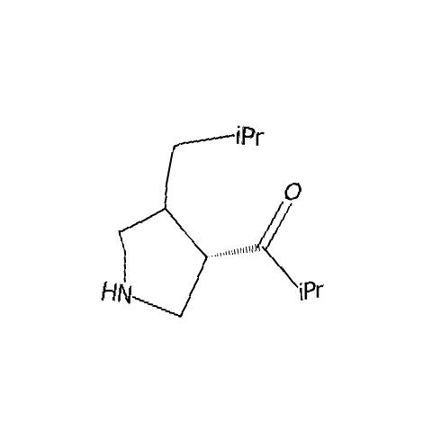 CC(C)CC1CNC[C@H]1C(=O)C(C)C